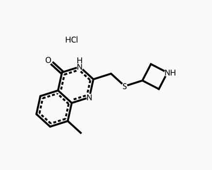 Cc1cccc2c(=O)[nH]c(CSC3CNC3)nc12.Cl